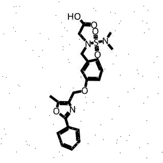 Cc1oc(-c2ccccc2)nc1COc1cccc(CN(CC(=O)O)S(=O)(=O)N(C)C)c1